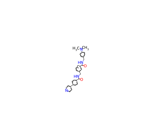 CN(C)c1ccc(CNC(=O)c2cccc(CNC(=O)c3ccc(-c4ccncc4)cc3)c2)cc1